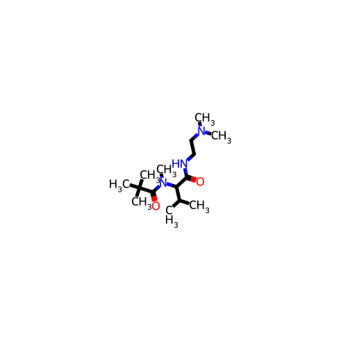 CC(C)C(C(=O)NCCN(C)C)N(C)C(=O)C(C)(C)C